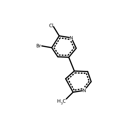 Cc1cc(-c2cnc(Cl)c(Br)c2)ccn1